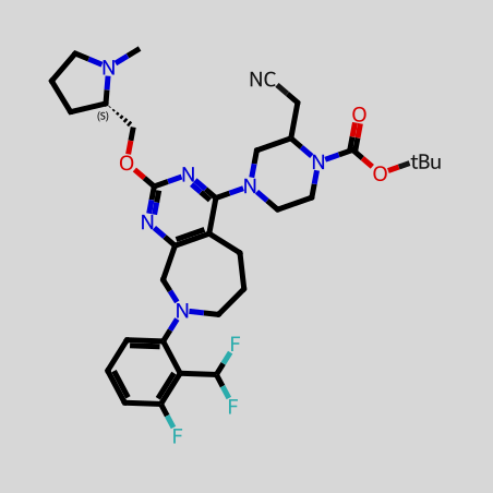 CN1CCC[C@H]1COc1nc2c(c(N3CCN(C(=O)OC(C)(C)C)C(CC#N)C3)n1)CCCN(c1cccc(F)c1C(F)F)C2